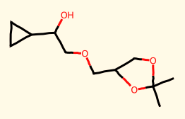 CC1(C)OCC(COCC(O)C2CC2)O1